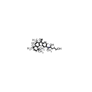 C/C(=C(/O)CCCO)c1ccc(C2(c3cc4c(cc3C)C(C)(C)C=CC4(C)C)CO2)nc1